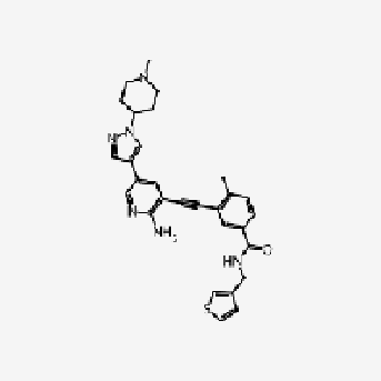 Cc1ccc(C(=O)NCc2ccsc2)cc1C#Cc1cc(-c2cnn(C3CCN(C)CC3)c2)cnc1N